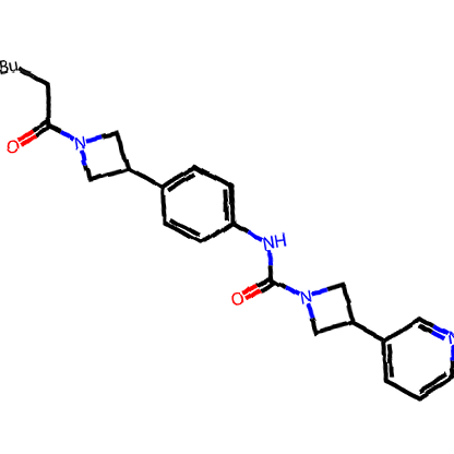 CC(C)(C)CC(=O)N1CC(c2ccc(NC(=O)N3CC(c4cccnc4)C3)cc2)C1